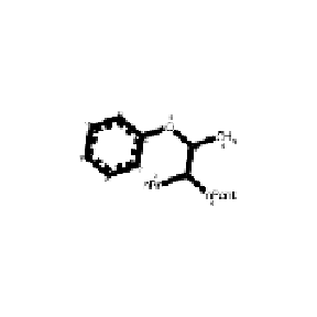 CCCCCC(CCC)C(C)Oc1ccccc1